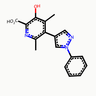 Cc1nc(C(=O)O)c(O)c(C)c1-c1cnn(-c2ccccc2)c1